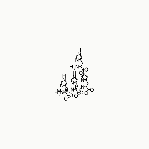 N[C@@H](Cc1c[nH]cn1)C(=O)[O-].N[C@@H](Cc1c[nH]cn1)C(=O)[O-].N[C@@H](Cc1c[nH]cn1)C(=O)[O-].N[C@@H](Cc1c[nH]cn1)C(=O)[O-].[Mo+4]